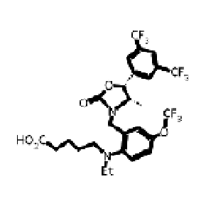 CCN(CCCCC(=O)O)c1ccc(OC(F)(F)F)cc1CN1C(=O)O[C@H](c2cc(C(F)(F)F)cc(C(F)(F)F)c2)[C@@H]1C